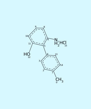 Cc1ccc(-c2c(N)cccc2O)cc1.Cl